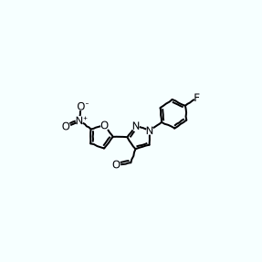 O=Cc1cn(-c2ccc(F)cc2)nc1-c1ccc([N+](=O)[O-])o1